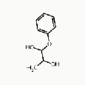 [CH2]C(O)C(O)Oc1ccccc1